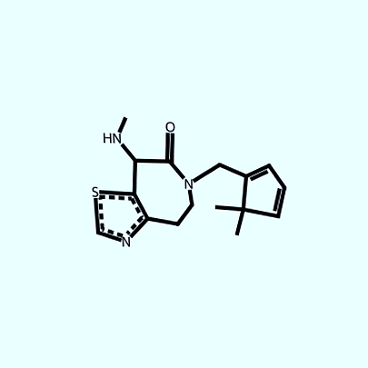 CNC1C(=O)N(CC2=CC=CC2(C)C)CCc2ncsc21